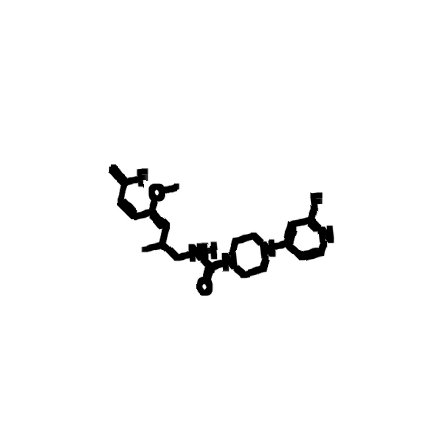 C=C(F)/C=C\C(=C/C(C)CNC(=O)N1CCN(c2ccnc(F)c2)CC1)OC